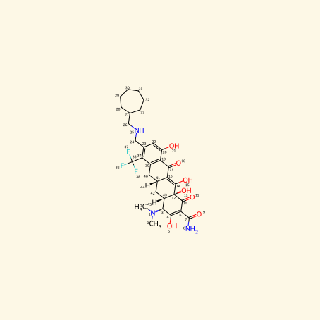 CN(C)[C@@H]1C(O)=C(C(N)=O)C(=O)[C@@]2(O)C(O)=C3C(=O)c4c(O)cc(CNCC5CCCCCC5)c(C(F)(F)F)c4C[C@H]3C[C@@H]12